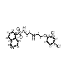 O=S(=O)(NCCNCCOc1ccc(Cl)cc1Cl)c1cccc2cnccc12